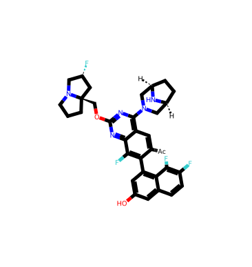 CC(=O)c1cc2c(N3C[C@H]4CC[C@@H](C3)N4)nc(OC[C@@]34CCCN3C[C@H](F)C4)nc2c(F)c1-c1cc(O)cc2ccc(F)c(F)c12